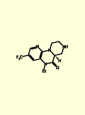 CCN1C(=O)[C@@H]2CNCCN2c2ncc(C(F)(F)F)cc21